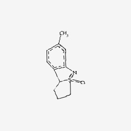 Cc1ccc2c(c1)N=S1(=O)CCCC21